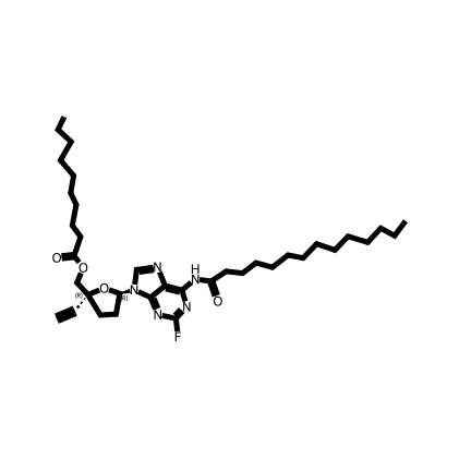 C#C[C@@]1(COC(=O)CCCCCCCCC)CC[C@H](n2cnc3c(NC(=O)CCCCCCCCCCCCC)nc(F)nc32)O1